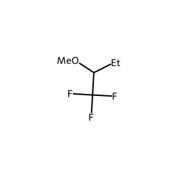 CCC(OC)C(F)(F)F